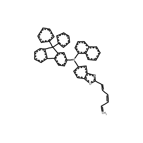 C=C/C=C\C=C\c1nc2cc(N(c3ccc4c(c3)C(c3ccccc3)(c3ccccc3)c3ccccc3-4)c3cccc4ccccc34)ccc2o1